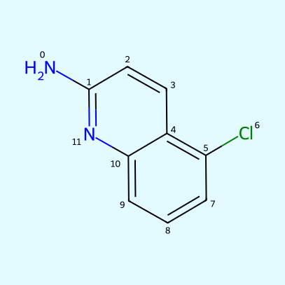 Nc1ccc2c(Cl)cccc2n1